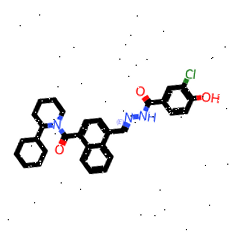 O=C(N/N=C/c1ccc(C(=O)N2CCCCC2C2CCCCC2)c2ccccc12)c1ccc(O)c(Cl)c1